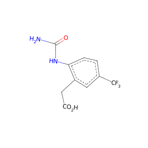 NC(=O)Nc1ccc(C(F)(F)F)cc1CC(=O)O